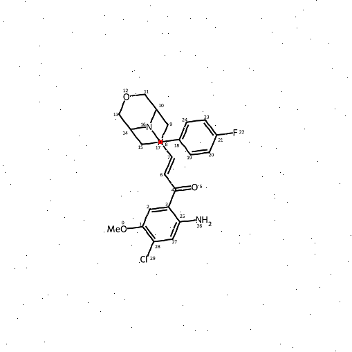 COc1cc(C(=O)/C=C/N2CC3COCC(C2)N3Cc2ccc(F)cc2)c(N)cc1Cl